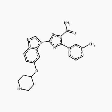 Cc1cccc(-c2nc(-n3cnc4ccc(OC5CCNCC5)cc43)sc2C(N)=O)c1